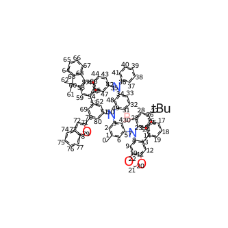 Cc1cc2c3c(c1)N(c1cc4c(cc1-c1ccccc1)OCO4)c1ccc(C(C)(C)C)cc1B3c1ccc(N(c3ccccc3)c3ccccc3)cc1N2c1cc(-c2ccc3c(c2)C(C)(C)c2ccccc2-3)cc(-c2cc3ccccc3o2)c1